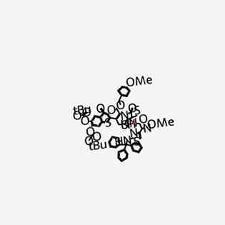 CO/N=C(\C(=O)NC1(C=S)C(=O)N2C(C(=O)OCc3ccc(OC)cc3)=C(c3cc(=O)c4cc(OC(=O)OC(C)(C)C)c(OC(=O)OC(C)(C)C)cc4s3)CS[C@H]21)c1csc(NC(c2ccccc2)(c2ccccc2)c2ccccc2)n1